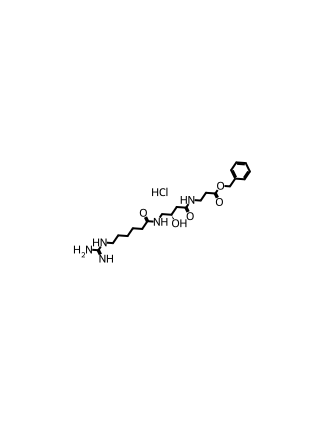 Cl.N=C(N)NCCCCCC(=O)NC[C@@H](O)CC(=O)NCCC(=O)OCc1ccccc1